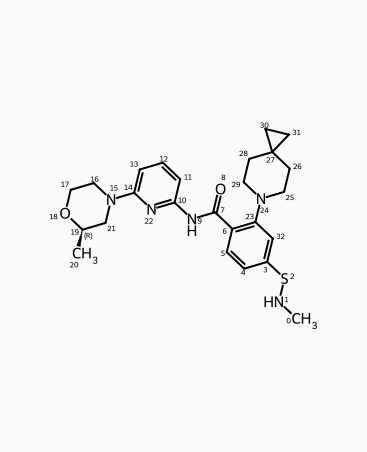 CNSc1ccc(C(=O)Nc2cccc(N3CCO[C@H](C)C3)n2)c(N2CCC3(CC2)CC3)c1